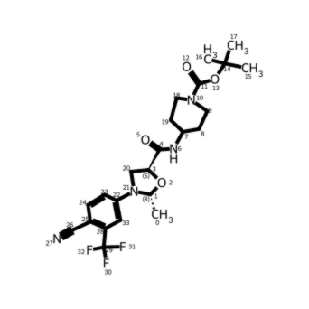 C[C@H]1O[C@H](C(=O)NC2CCN(C(=O)OC(C)(C)C)CC2)CN1c1ccc(C#N)c(C(F)(F)F)c1